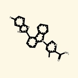 Cc1cc(-n2c3ccccc3c3c(-c4nc5ccc(F)cc5[nH]4)cccc32)cnc1C(N)=O